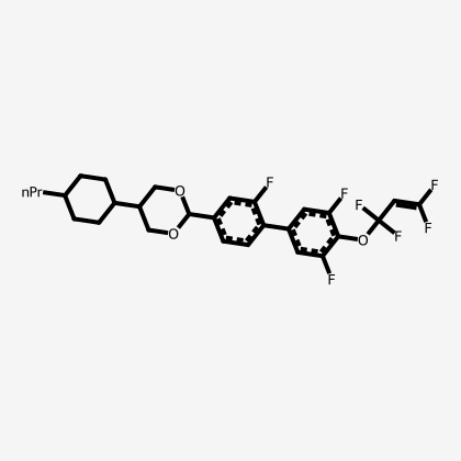 CCCC1CCC(C2COC(c3ccc(-c4cc(F)c(OC(F)(F)C=C(F)F)c(F)c4)c(F)c3)OC2)CC1